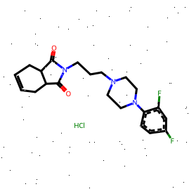 Cl.O=C1C2CC=CCC2C(=O)N1CCCN1CCN(c2ccc(F)cc2F)CC1